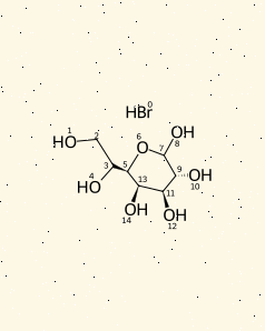 Br.OCC(O)[C@H]1OC(O)[C@H](O)[C@@H](O)[C@H]1O